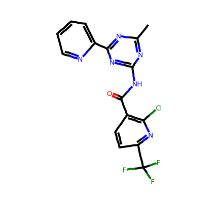 Cc1nc(NC(=O)c2ccc(C(F)(F)F)nc2Cl)nc(-c2ccccn2)n1